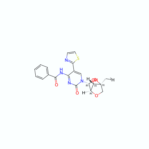 [2H]C[C@@]12CO[C@@H]([C@H](n3cc(-c4nccs4)c(NC(=O)c4ccccc4)nc3=O)O1)[C@@H]2O